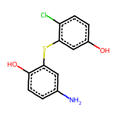 Nc1ccc(O)c(Sc2cc(O)ccc2Cl)c1